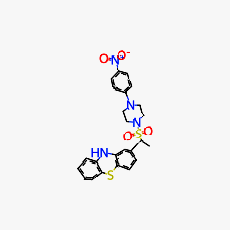 CC(c1ccc2c(c1)Nc1ccccc1S2)S(=O)(=O)N1CCN(c2ccc([N+](=O)[O-])cc2)CC1